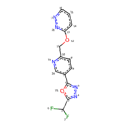 FC(F)c1nnc(-c2ccc(COc3cccnn3)nc2)o1